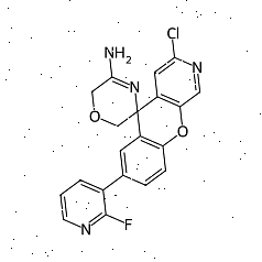 NC1=NC2(COC1)c1cc(-c3cccnc3F)ccc1Oc1cnc(Cl)cc12